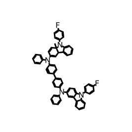 CC12C=CC(N(c3c#cc(-c4ccc(N(c5ccccc5)c5ccc6c(c5)c5ccccc5n6-c5ccc(F)cc5)cc4)cc3)c3ccccc3)=CC1c1ccccc1N2c1ccc(F)cc1